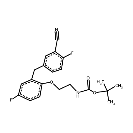 CC(C)(C)OC(=O)NCCOc1ccc(F)cc1Cc1ccc(F)c(C#N)c1